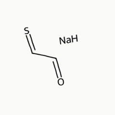 O=CC=S.[NaH]